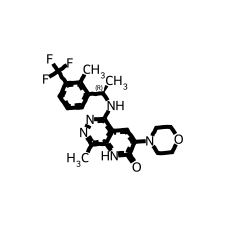 Cc1c([C@@H](C)Nc2nnc(C)c3[nH]c(=O)c(N4CCOCC4)cc23)cccc1C(F)(F)F